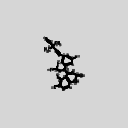 CC(C)(C#N)C#Cc1cc(F)cc(N(CC(F)F)c2nc(=O)[nH]c3ccc(F)c(F)c23)c1